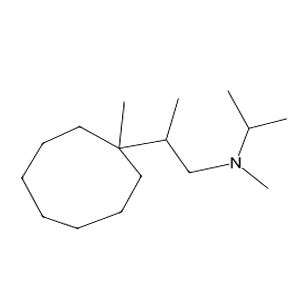 CC(C)N(C)CC(C)C1(C)CCCCCCC1